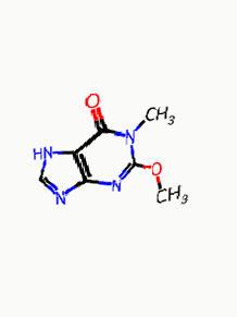 COc1nc2nc[nH]c2c(=O)n1C